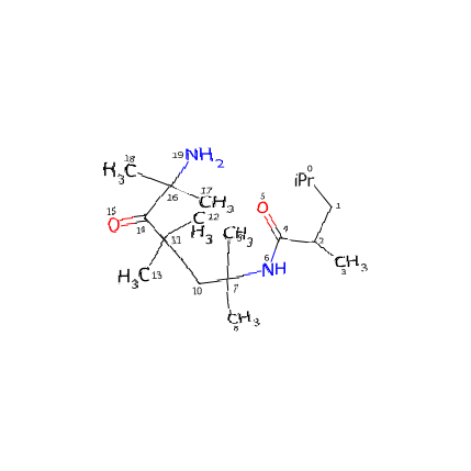 CC(C)CC(C)C(=O)NC(C)(C)CC(C)(C)C(=O)C(C)(C)N